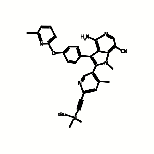 Cc1cccc(Oc2ccc(-c3c(-c4cnc(C#C[Si](C)(C)C(C)(C)C)cc4C)n(C)c4c(C#N)cnc(N)c34)cc2)n1